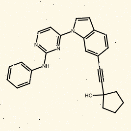 OC1(C#Cc2ccc3ccn(-c4ccnc(Nc5ccccc5)n4)c3c2)CCCC1